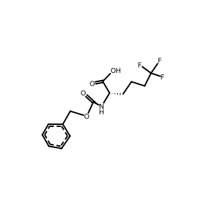 O=C(N[C@@H](CCCC(F)(F)F)C(=O)O)OCc1ccccc1